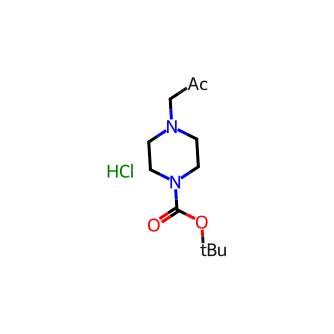 CC(=O)CN1CCN(C(=O)OC(C)(C)C)CC1.Cl